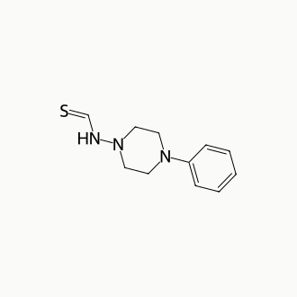 S=CNN1CCN(c2ccccc2)CC1